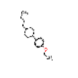 CCCCC1CCC(c2ccc(OCC)cc2)CC1